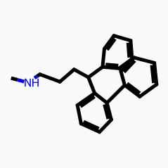 CNCCCC(c1ccccc1)c1ccccc1-c1ccccc1